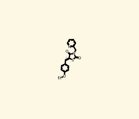 CCOc1ccc(/C=C2\SC(=O)N(Cc3ccccn3)C2=O)cc1